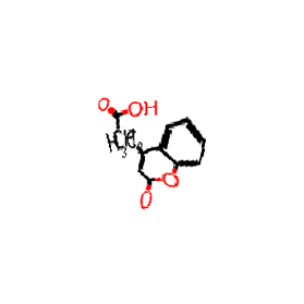 CC(=O)O.Cc1cc(=O)oc2ccccc12